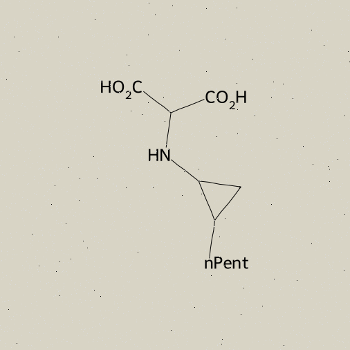 CCCCCC1CC1NC(C(=O)O)C(=O)O